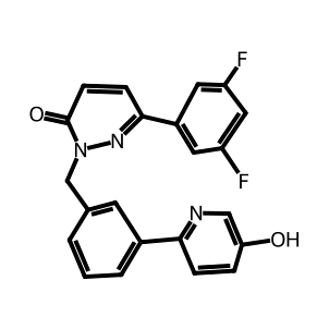 O=c1ccc(-c2cc(F)cc(F)c2)nn1Cc1cccc(-c2ccc(O)cn2)c1